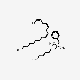 CC/C=C\C/C=C\C/C=C\CCCCCCCC(=O)[O-].CCCCCCCCCCCCCCCC[N+](C)(C)Cc1ccccc1